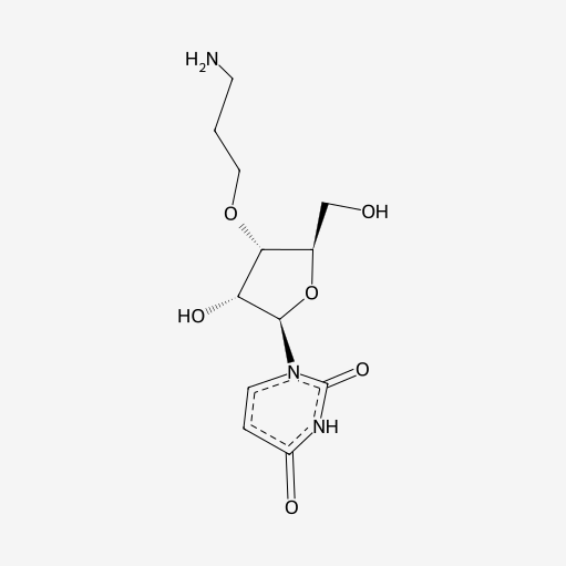 NCCCO[C@H]1[C@@H](O)[C@H](n2ccc(=O)[nH]c2=O)O[C@@H]1CO